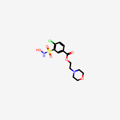 O=C(OCCN1CCOCC1)c1ccc(Cl)c(S(=O)(=O)NO)c1